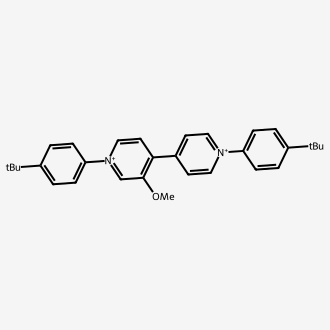 COc1c[n+](-c2ccc(C(C)(C)C)cc2)ccc1-c1cc[n+](-c2ccc(C(C)(C)C)cc2)cc1